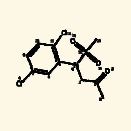 CC(=O)CN(c1cc(Cl)ccc1Cl)S(C)(=O)=O